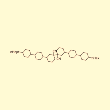 CCCCCCCC1CCC(C2CCC(C3CCCC(C#N)(C4(C#N)CCCC(C5CCC(C6CCC(CCCCCC)CC6)CC5)C4)C3)CC2)CC1